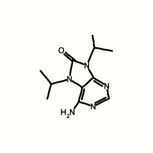 CC(C)n1c(=O)n(C(C)C)c2c(N)ncnc21